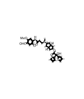 COc1cc(NC(=O)CCN(C)[C@H]2C[C@H]3C[C@H](OC(=O)C(O)(c4cccs4)c4cccs4)C[C@H]3C2)c(Cl)cc1C=O